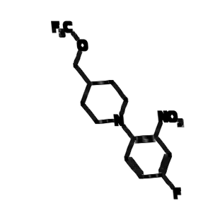 O=[N+]([O-])c1cc(F)ccc1N1CCC(COC(F)(F)F)CC1